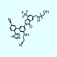 Cn1cnnc1-c1ccc(C#N)cc1-c1cc(NCCC#N)cc(N2Cc3c(cc(CNC(C)(C)CO)cc3C(F)(F)F)C2=O)c1